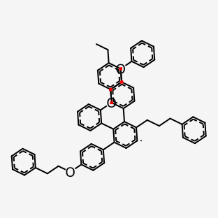 CCc1ccc(Oc2ccccc2-c2c(-c3ccc(OCCc4ccccc4)cc3)c[c]c(CCCc3ccccc3)c2-c2ccc(Oc3ccccc3)cc2)cc1